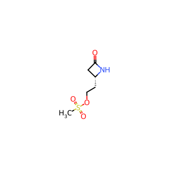 CS(=O)(=O)OCC[C@@H]1CC(=O)N1